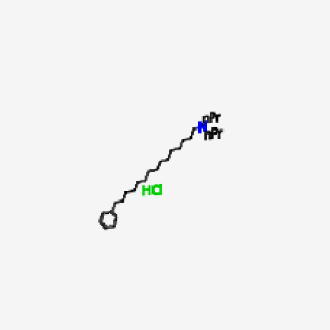 CCCN(CCC)CCCCCCCCCCCCCCCc1ccccc1.Cl